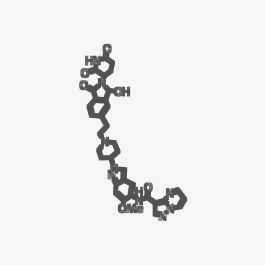 COc1cc2nn(C3CCN(CCc4ccc5c(c4)C(O)N(C4CCC(=O)NC4=O)C5=O)CC3)cc2cc1NC(=O)c1cnn2cccnc12